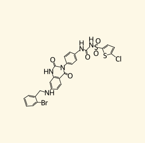 O=C(Nc1ccc(-n2c(=O)[nH]c3cc(NCc4ccccc4Br)ccc3c2=O)cc1)NS(=O)(=O)c1ccc(Cl)s1